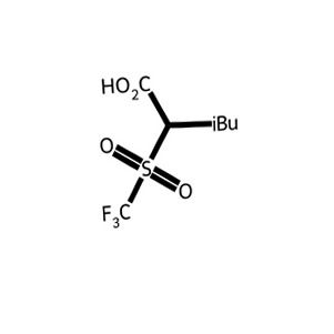 CCC(C)C(C(=O)O)S(=O)(=O)C(F)(F)F